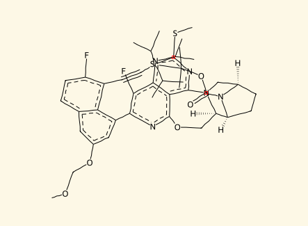 COCOc1cc(-c2nc3c4c(nc(SC)nc4c2F)N2C[C@H]4CC[C@@H]([C@H]2CO3)N4C(=O)OC(C)(C)C)c2c(C#C[Si](C(C)C)(C(C)C)C(C)C)c(F)ccc2c1